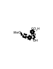 COCCN1CCN(c2cccc(-n3c(CCO)nc4cc(C(=O)O)ccc43)c2)CC1